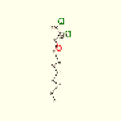 [CH2]CCCCCCCOCC(Cl)CCl